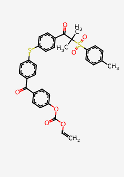 C=COC(=O)Oc1ccc(C(=O)c2ccc(Sc3ccc(C(=O)C(C)(C)S(=O)(=O)c4ccc(C)cc4)cc3)cc2)cc1